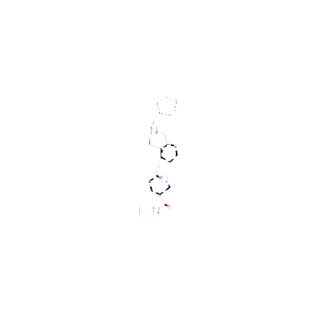 NC(=O)c1ccc(Oc2cccc3c2CCN(CC2CCCCC2)C3)nc1